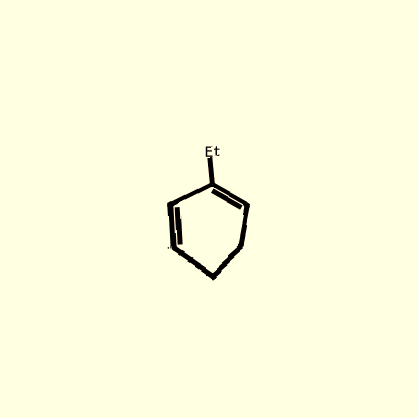 CCC1=CCC[C]=C1